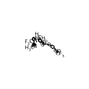 Cc1cc(S(=O)(=O)CCCOC2CCC(COC(=O)C(F)(F)F)CC2)ccc1Nc1ccc(C(F)(F)F)c(-c2cnn(C)c2)n1